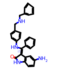 Nc1ccc2c(c1)/C(=C(/Nc1ccc(CNCc3ccccc3)cc1)c1ccccc1)C(=O)N2